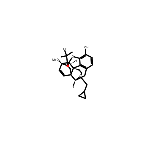 CO[C@]12C=C[C@@]3(C[C@@H]1C(C)(C)O)[C@H]1Cc4ccc(O)c5c4[C@@]3(CCN1CC1CC1)[C@H]2O5